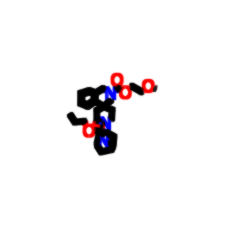 CCCOC(=O)N1CC2CCC1CC(N1CCC3(CC1)CN(C(=O)OCCOC)Cc1ccccc13)C2